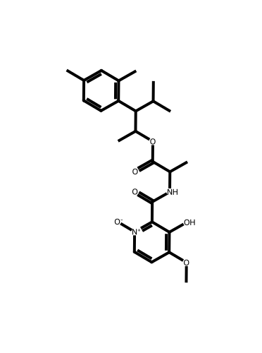 COc1cc[n+]([O-])c(C(=O)NC(C)C(=O)OC(C)C(c2ccc(C)cc2C)C(C)C)c1O